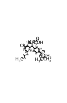 CC(=O)O.CCCCc1nc(Cl)c(CC)c(Cc2ccc(C(=O)OC(C)(C)C)cc2)n1